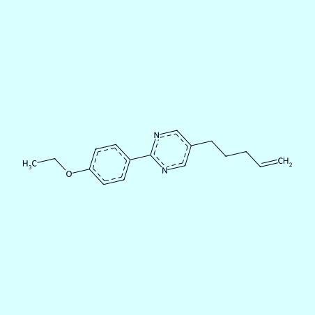 C=CCCCc1cnc(-c2ccc(OCC)cc2)nc1